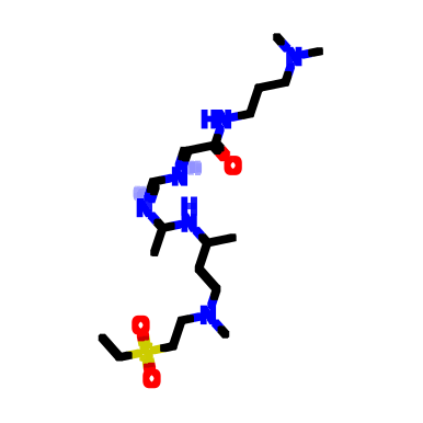 CCS(=O)(=O)CCN(C)CCC(C)NC(C)/N=C\N=C\C(=O)NCCCN(C)C